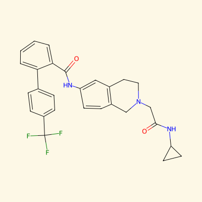 O=C(CN1CCc2cc(NC(=O)c3ccccc3-c3ccc(C(F)(F)F)cc3)ccc2C1)NC1CC1